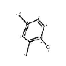 [CH2]c1cc[n+](Cl)c(C)c1